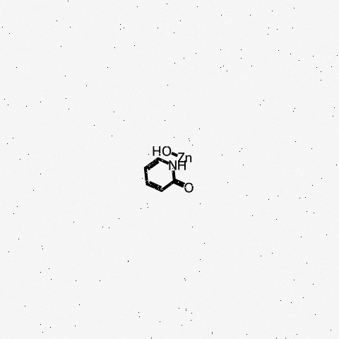 O=c1cccc[nH]1.[OH][Zn]